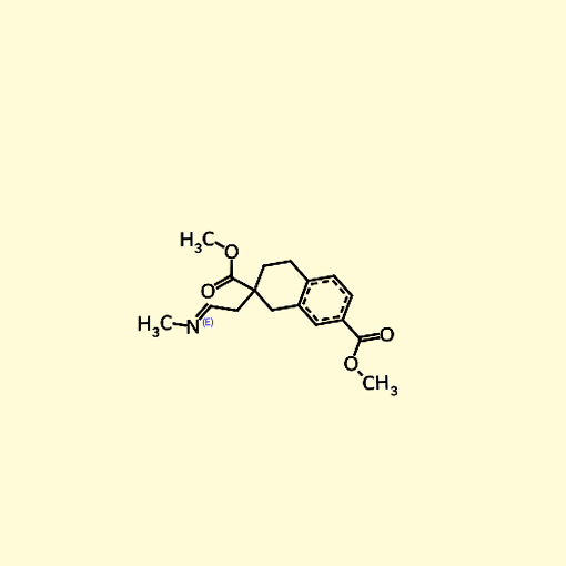 C/N=C/CC1(C(=O)OC)CCc2ccc(C(=O)OC)cc2C1